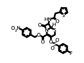 O=C(Cc1cccs1)NC1C(=O)N2C(C(=O)OCc3ccc([N+](=O)[O-])cc3)=C(OS(=O)(=O)c3ccc(F)cc3)CS[C@H]12